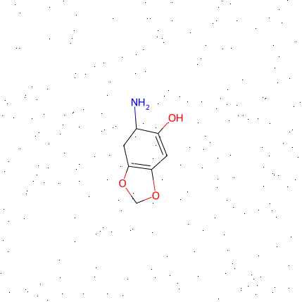 NC1CC2=C(C=C1O)OCO2